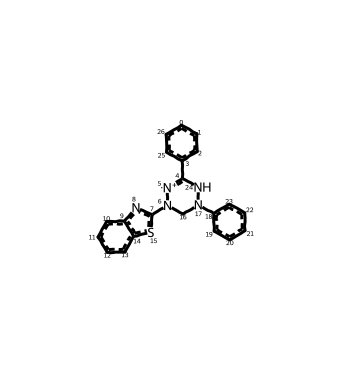 c1ccc(C2=[N+]N(c3nc4ccccc4s3)CN(c3ccccc3)N2)cc1